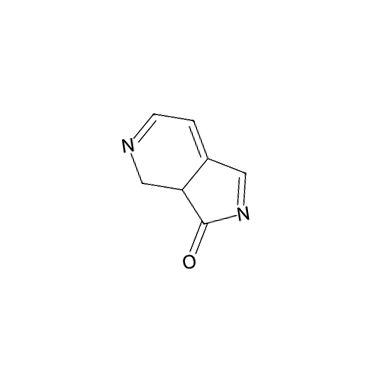 O=C1N=CC2=CC=NCC12